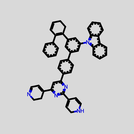 C1=CC(c2ccccc2)=C(c2cc(-c3ccc(-c4cc(C5=CC=NCC5)nc(C5=CCNC=C5)n4)cc3)cc(-n3c4ccccc4c4ccccc43)c2)CC1